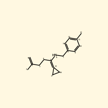 C=C(C)CCC(NCc1ccc(C)cc1)=C1CC1